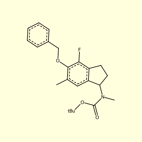 Cc1cc2c(c(F)c1OCc1ccccc1)CCC2N(C)C(=O)OC(C)(C)C